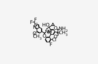 COc1cc(C(=O)NCC(O)(c2cc3c(c(-c4cccc(F)c4Cl)n2)OC[C@]3(C)C(N)=O)C2CC2)cc2cn(C(F)F)nc12